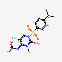 CC(=O)/N=c1\c(F)cn(S(=O)(=O)c2ccc(C(C)C)cc2)c(=O)n1C